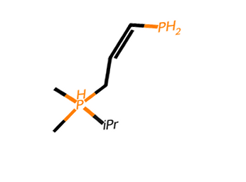 CC(C)[PH](C)(C)C/C=C\P